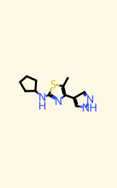 Cc1sc(NC2CCCC2)nc1-c1cn[nH]c1